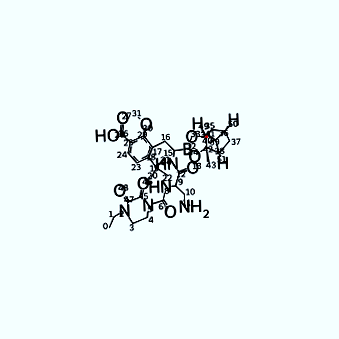 CCN1CCN(C(=O)NC(CN)C(=O)NC(Cc2c(C(C)(C)C)ccc(C(=O)O)c2OC)B2O[C@@H]3C[C@@H]4C[C@@H](C4(C)C)[C@]3(C)O2)C(=O)C1=O